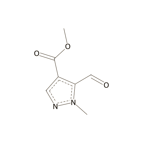 COC(=O)c1cnn(C)c1C=O